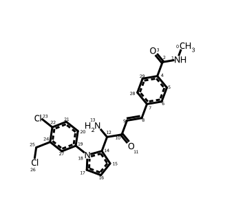 CNC(=O)c1ccc(/C=C/C(=O)C(N)c2cccn2-c2ccc(Cl)c(CCl)c2)cc1